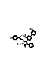 CN1C(=O)N(c2ccccc2)[C@H](c2ccc(-c3cccc(O)c3)cc2O)[C@H]1CC[C@H](O)c1ccc(F)cc1